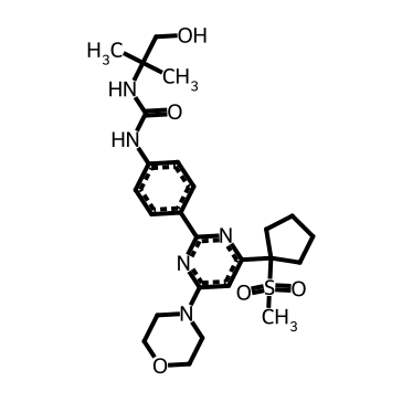 CC(C)(CO)NC(=O)Nc1ccc(-c2nc(N3CCOCC3)cc(C3(S(C)(=O)=O)CCCC3)n2)cc1